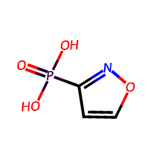 O=P(O)(O)c1ccon1